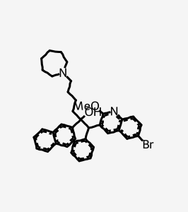 COc1nc2ccc(Br)cc2cc1C(c1ccccc1)C(O)(CCCCN1CCCCCC1)c1ccc2ccccc2c1